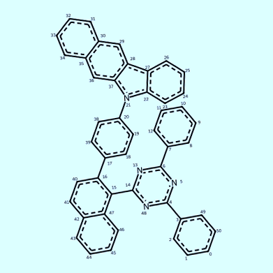 c1ccc(-c2nc(-c3ccccc3)nc(-c3c(-c4ccc(-n5c6ccccc6c6cc7ccccc7cc65)cc4)ccc4ccccc34)n2)cc1